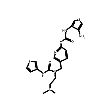 CN(C)CCN(Cc1ccc(OC(=O)Nc2cscc2N)nc1)C(=O)Nc1ccsc1